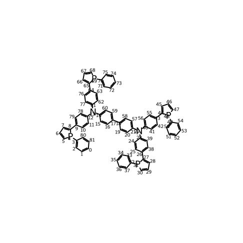 c1ccc(-p2cccc2-c2ccc(N(c3ccc(-c4ccc(N(c5ccc(-c6cccp6-c6ccccc6)cc5)c5ccc(-c6cccp6-c6ccccc6)cc5)cc4)cc3)c3ccc(-c4cccp4-c4ccccc4)cc3)cc2)cc1